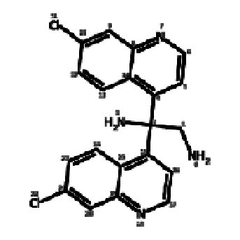 NCC(N)(c1ccnc2cc(Cl)ccc12)c1ccnc2cc(Cl)ccc12